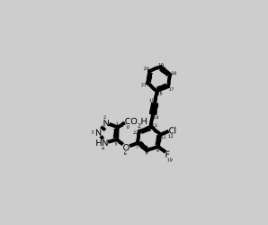 O=C(O)c1nn[nH]c1Oc1cc(F)c(Cl)c(C#Cc2ccccc2)c1